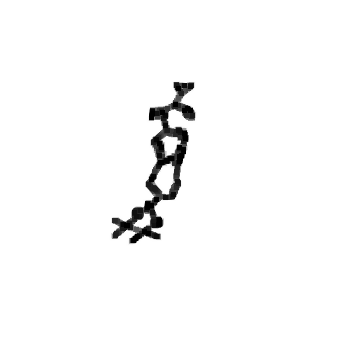 CC1(C)OB(c2ccn3nc(NC(=O)C4CC4)cc3c2)OC1(C)C